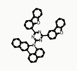 c1ccc2cc3c(cc2c1)-c1cccc2cccc(c12)N3c1nc(-c2ccc3oc4ccccc4c3c2)nc(-c2cccc3c2oc2ccccc23)n1